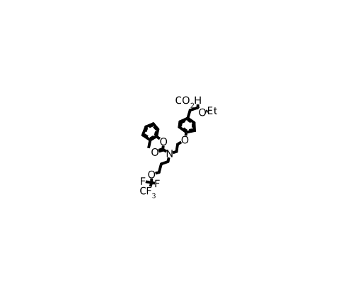 CCOC(Cc1ccc(OCCN(CCCOC(F)(F)C(F)(F)F)C(=O)Oc2ccccc2C)cc1)C(=O)O